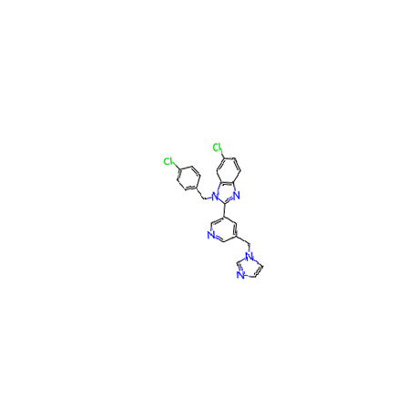 Clc1ccc(Cn2c(-c3cncc(Cn4ccnc4)c3)nc3ccc(Cl)cc32)cc1